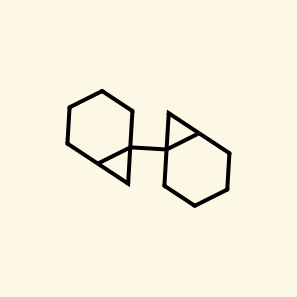 C1CCC2(C34CCCCC3C4)CC2C1